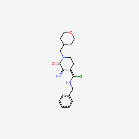 N=C1C(=O)N(CC2CCOCC2)CC/C1=C(\Cl)NCc1ccccc1